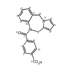 O=C(O)c1ccc(C(=O)N2Cc3cccn3Cc3ccccc32)cc1